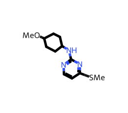 COC1CCC(Nc2nccc(SC)n2)CC1